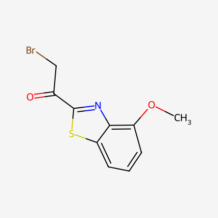 COc1cccc2sc(C(=O)CBr)nc12